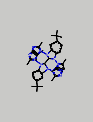 Cc1cnc(C)n1N1c2ccc(C(C)(C)C)cc2N(n2c(C)cnc2C)C1C1N(n2c(C)cnc2C)c2ccc(C(C)(C)C)cc2N1n1c(C)cnc1C